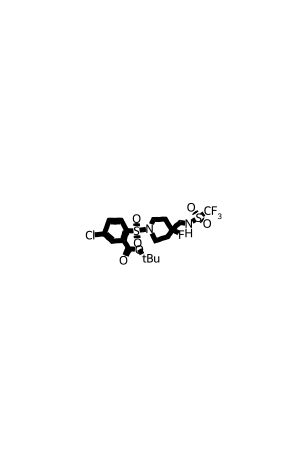 CC(C)(C)OC(=O)c1cc(Cl)ccc1S(=O)(=O)N1CCC(F)(CNS(=O)(=O)C(F)(F)F)CC1